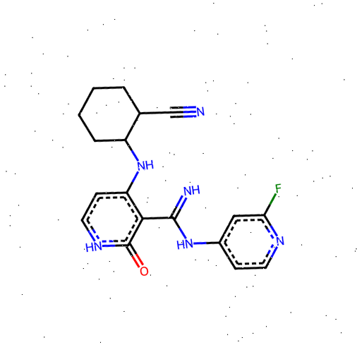 N#CC1CCCCC1Nc1cc[nH]c(=O)c1C(=N)Nc1ccnc(F)c1